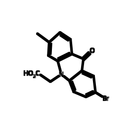 Cc1ccc2c(=O)c3cc(Br)ccc3n(CC(=O)O)c2c1